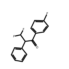 O=C(c1ccc(F)cc1)C(c1ccccc1)C(F)F